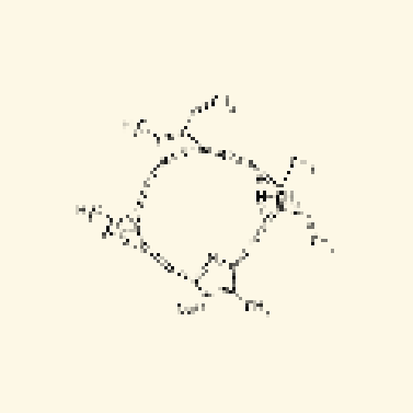 C=CC1=C(C)c2cc3c(C)cc(cc4nc(cc5c(C=C)c(C)c(cc1n2)n5C)C(C)=C4)n3C.[Ga+3]